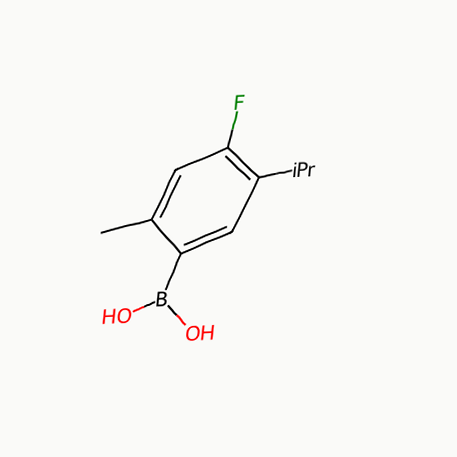 Cc1cc(F)c(C(C)C)cc1B(O)O